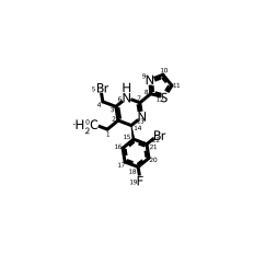 [CH2]CC1=C(CBr)NC(c2nccs2)=N[C@H]1c1ccc(F)cc1Br